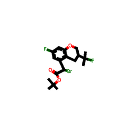 CC(C)(C)OC(=O)C(Br)c1cc(F)cc2c1CC(C(C)(C)F)CO2